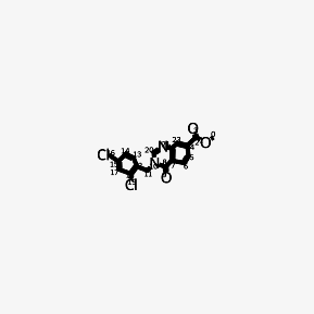 COC(=O)c1ccc2c(=O)n(Cc3ccc(Cl)cc3Cl)cnc2c1